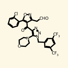 O=CCc1noc(-c2ccccc2Cl)c1C(=O)c1nnn(Cc2cc(C(F)(F)F)cc(C(F)(F)F)c2)c1N1CCOCC1